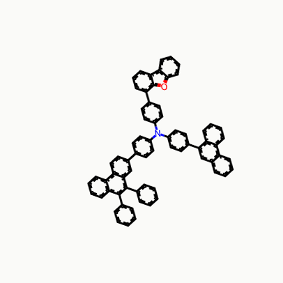 c1ccc(-c2c(-c3ccccc3)c3cc(-c4ccc(N(c5ccc(-c6cc7ccccc7c7ccccc67)cc5)c5ccc(-c6cccc7c6oc6ccccc67)cc5)cc4)ccc3c3ccccc23)cc1